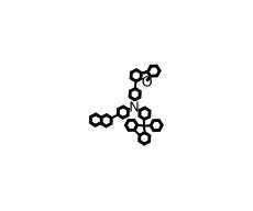 c1ccc(C2(c3cccc(N(c4ccc(-c5ccc6ccccc6c5)cc4)c4ccc(-c5cccc6c5oc5ccccc56)cc4)c3)c3ccccc3-c3ccccc32)cc1